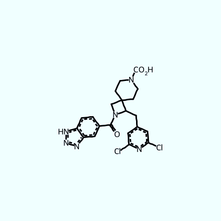 O=C(O)N1CCC2(CC1)CN(C(=O)c1ccc3[nH]nnc3c1)C2Cc1cc(Cl)nc(Cl)c1